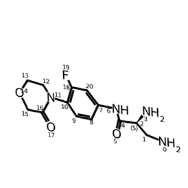 NC[C@H](N)C(=O)Nc1ccc(N2CCOCC2=O)c(F)c1